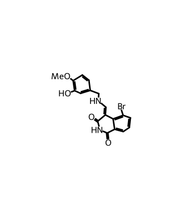 COc1ccc(CN/C=C2\C(=O)NC(=O)c3cccc(Br)c32)cc1O